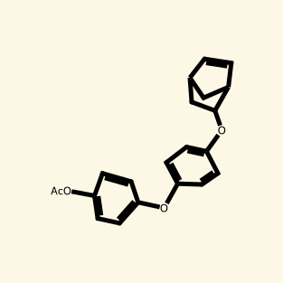 CC(=O)Oc1ccc(Oc2ccc(OC3CC4C=CC3C4)cc2)cc1